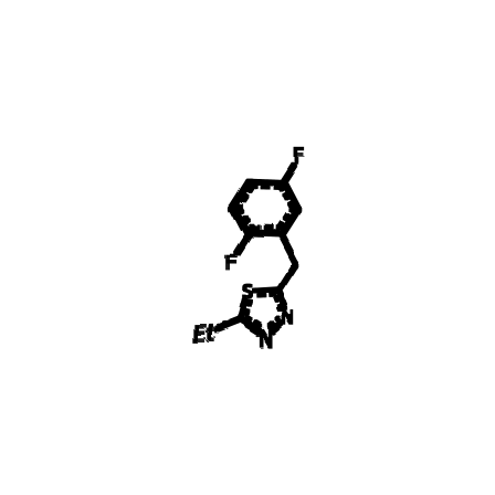 CCc1nnc(Cc2cc(F)ccc2F)s1